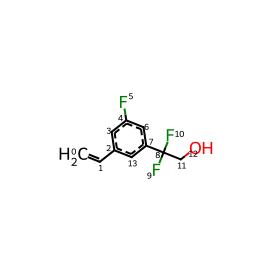 C=Cc1cc(F)cc(C(F)(F)CO)c1